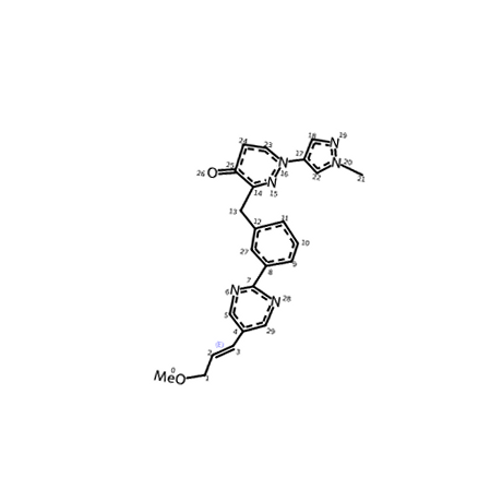 COC/C=C/c1cnc(-c2cccc(Cc3nn(-c4cnn(C)c4)ccc3=O)c2)nc1